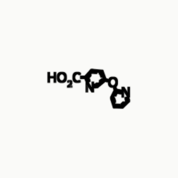 O=C(O)c1ccc(Oc2ccccn2)cn1